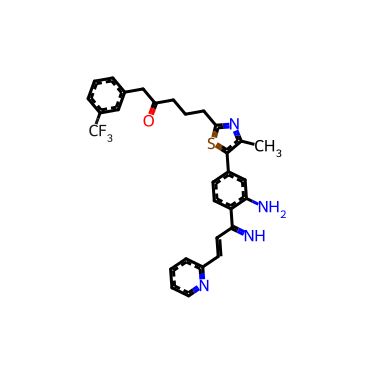 Cc1nc(CCCC(=O)Cc2cccc(C(F)(F)F)c2)sc1-c1ccc(C(=N)/C=C/c2ccccn2)c(N)c1